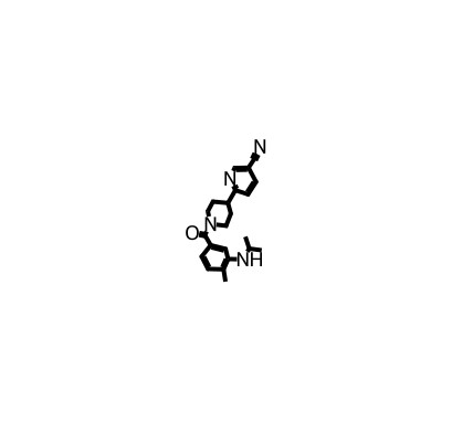 Cc1ccc(C(=O)N2CCC(c3ccc(C#N)cn3)CC2)cc1NC(C)C